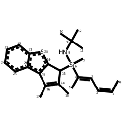 C/C=C\C=C(/C)[Si](C)(NC(C)(C)C)C1C(C)=C(C)c2c1sc1ccccc21